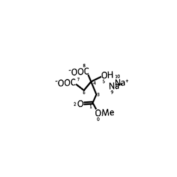 COC(=O)CC(O)(CC(=O)[O-])C(=O)[O-].[Na+].[Na+]